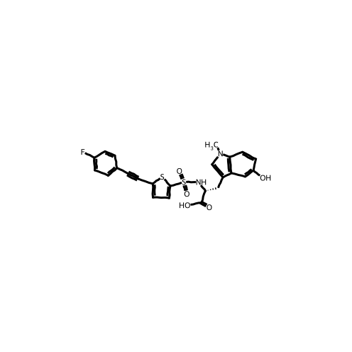 Cn1cc(C[C@@H](NS(=O)(=O)c2ccc(C#Cc3ccc(F)cc3)s2)C(=O)O)c2cc(O)ccc21